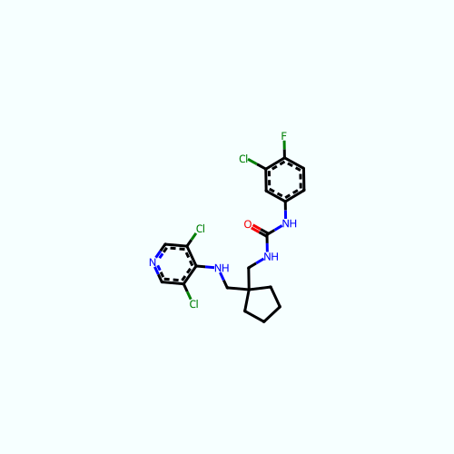 O=C(NCC1(CNc2c(Cl)cncc2Cl)CCCC1)Nc1ccc(F)c(Cl)c1